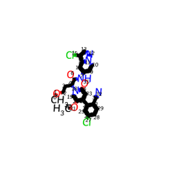 COCCC(C(=O)Nc1ccn2ncc(Cl)c2c1)n1cc(OC)c(-c2cc(Cl)ccc2C#N)cc1=O